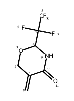 C=C1COC(C(F)(F)C(F)(F)F)NC1=O